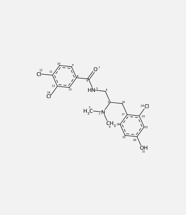 CN(C)C(CNC(=O)c1ccc(Cl)c(Cl)c1)Cc1ccc(O)cc1Cl